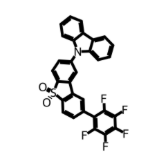 O=S1(=O)c2ccc(-c3c(F)c(F)c(F)c(F)c3F)cc2-c2cc(-n3c4ccccc4c4ccccc43)ccc21